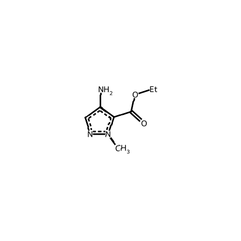 CCOC(=O)c1c(N)cnn1C